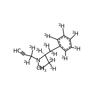 [2H]c1c([2H])c([2H])c(C([2H])([2H])[C@]([2H])(N(C)C([2H])([2H])C#C)C([2H])([2H])[2H])c([2H])c1[2H]